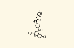 Cc1cc(CC(=O)N[C@H]2CC[C@@H](Nc3cc(C(F)(F)F)nc4ccc(Cl)cc34)CC2)on1